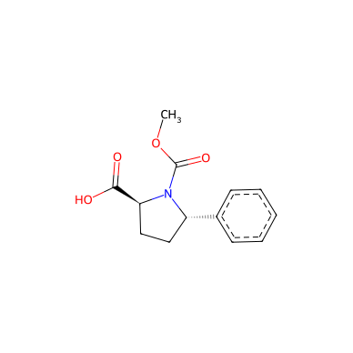 COC(=O)N1[C@H](C(=O)O)CC[C@H]1c1ccccc1